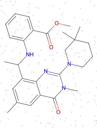 COC(=O)c1ccccc1NC(C)c1cc(C)cc2c(=O)n(C)c(N3CCCC(C)(C)C3)nc12